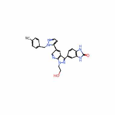 N#Cc1ccc(Cn2nccc2-c2cnc3c(c2)c(-c2ccc4[nH]c(=O)[nH]c4c2)nn3CCO)cc1